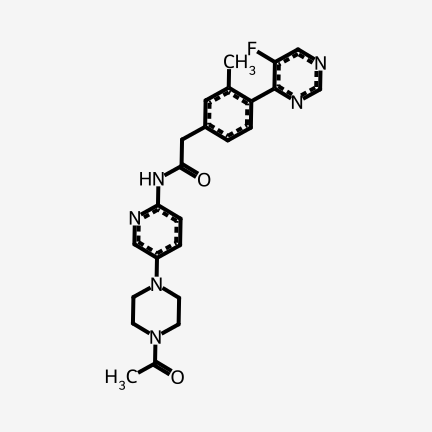 CC(=O)N1CCN(c2ccc(NC(=O)Cc3ccc(-c4ncncc4F)c(C)c3)nc2)CC1